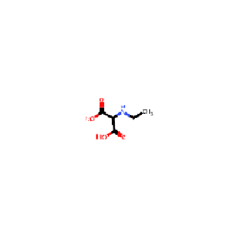 CCNC(C(=O)O)C(=O)O